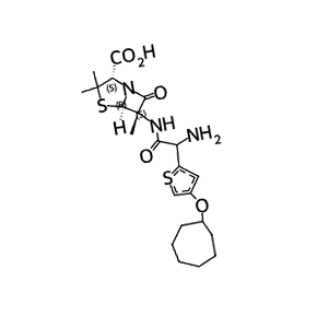 CC1(C)S[C@H]2N(C(=O)[C@]2(C)NC(=O)C(N)c2cc(OC3CCCCCC3)cs2)[C@H]1C(=O)O